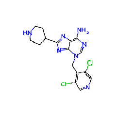 Nc1ncn(Cc2c(Cl)cncc2Cl)c2nc(C3CCNCC3)nc1-2